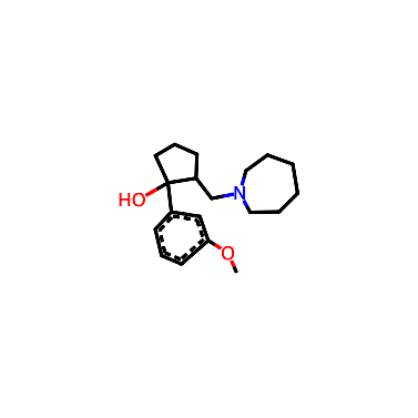 COc1cccc(C2(O)CCCC2CN2CCCCCC2)c1